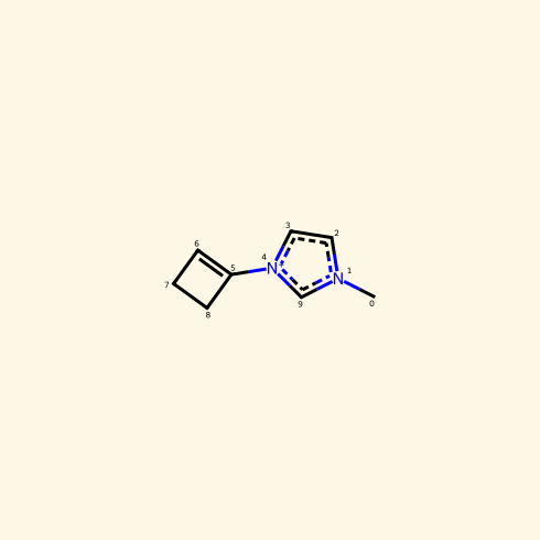 Cn1cc[n+](C2=CCC2)c1